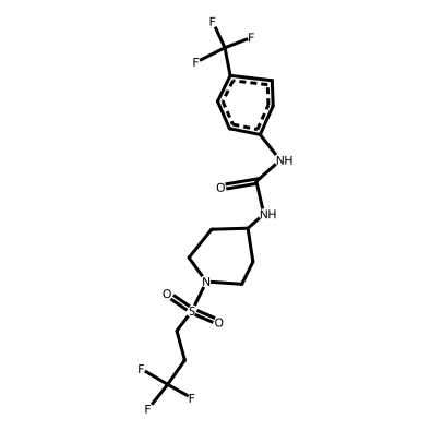 O=C(Nc1ccc(C(F)(F)F)cc1)NC1CCN(S(=O)(=O)CCC(F)(F)F)CC1